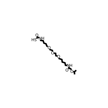 CC(C)OCC(=O)NCCCCCOCCOCCOCCCCCNC(=O)S